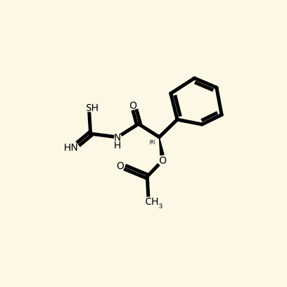 CC(=O)O[C@@H](C(=O)NC(=N)S)c1ccccc1